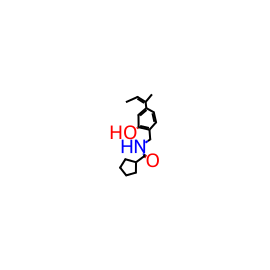 C/C=C(/C)c1ccc(CNC(=O)C2CCCC2)c(O)c1